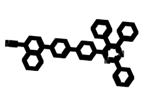 N#CC1CC=C(C2CC=C(C3C=CC(c4nc(C5C=CC=CC5)nc(C5=CCCCC5)c4C4=CC=CCC4)CC3)CC2)C2=C1CCCC2